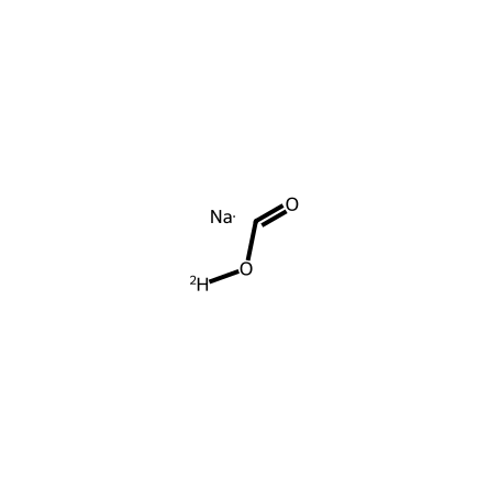 [2H]OC=O.[Na]